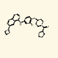 O=C(C1CCCC1)N1CCC(Oc2ccc(Nc3ncnc4cnc(N5CCC5)cc34)cc2Cl)CC1